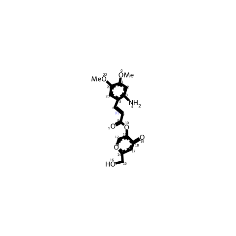 COc1cc(N)c(/C=C/C(=O)Oc2coc(CO)cc2=O)cc1OC